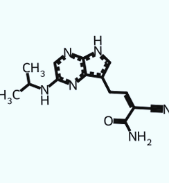 CC(C)Nc1cnc2[nH]cc(CC=C(C#N)C(N)=O)c2n1